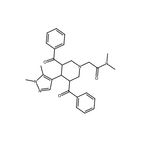 Cc1c(C2C(C(=O)c3ccccc3)CN(CC(=O)N(C)C)CC2C(=O)c2ccccc2)cnn1C